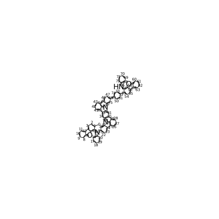 Cc1ccc2c(oc3ccccc32)c1N(c1ccccc1)c1ccc2c3cccc4c5cc6c(cc5n(c2c1)c34)c1cccc2c3ccc(-c4ccc(-c5ccc7c(oc8ccccc87)c5Nc5ccccc5)cc4)cc3n6c21